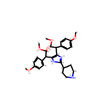 COC(=O)C(c1ccc(OC)cc1)c1nc(C2CCNCC2)[nH]c1C(C(=O)OC)c1ccc(OC)cc1